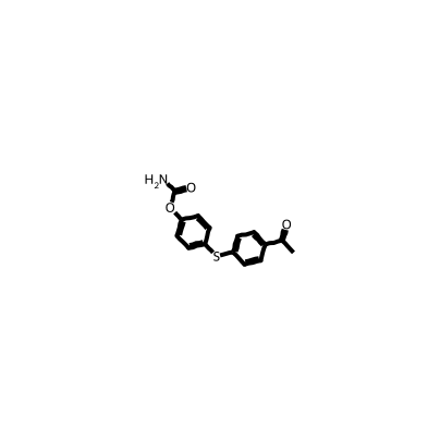 CC(=O)c1ccc(Sc2ccc(OC(N)=O)cc2)cc1